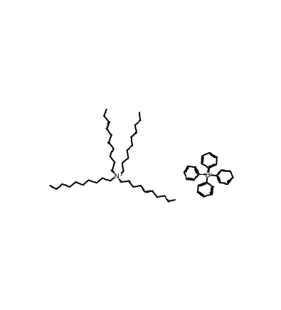 CCCCCCCCCC[N+](CCCCCCCCCC)(CCCCCCCCCC)CCCCCCCCCC.c1ccc([B-](c2ccccc2)(c2ccccc2)c2ccccc2)cc1